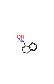 ON=CC1=CCCc2ccccc21